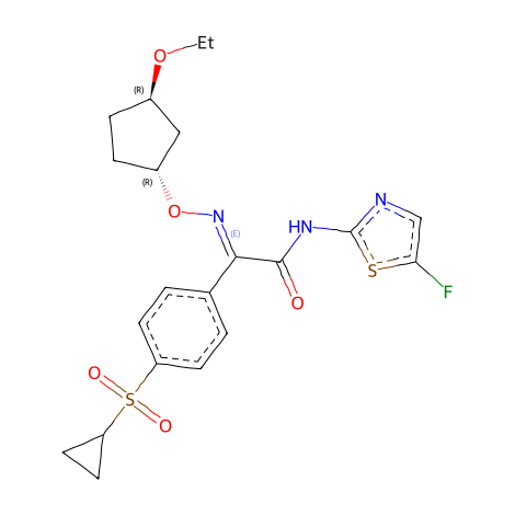 CCO[C@@H]1CC[C@@H](O/N=C(/C(=O)Nc2ncc(F)s2)c2ccc(S(=O)(=O)C3CC3)cc2)C1